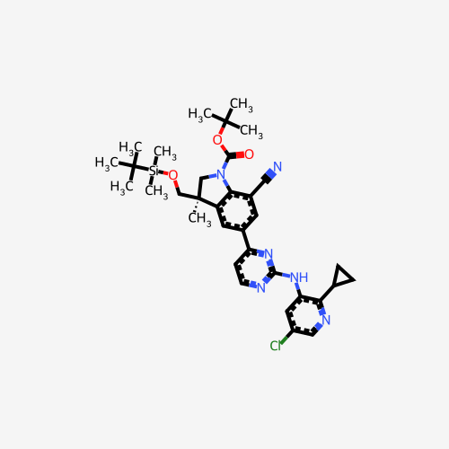 CC(C)(C)OC(=O)N1C[C@](C)(CO[Si](C)(C)C(C)(C)C)c2cc(-c3ccnc(Nc4cc(Cl)cnc4C4CC4)n3)cc(C#N)c21